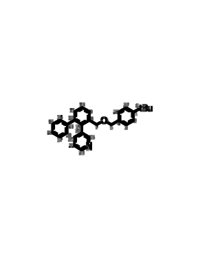 CC(C)(C)c1ccc(COCc2cccc(-c3ccccc3)c2-c2cccnc2)cc1